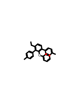 CCc1[c]cc(-c2ccc(C)cc2)c(Oc2ccccc2)c1-c1ccc(C)cc1